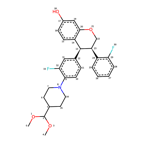 COC(OC)C1CCN(c2ccc([C@H]3c4ccc(O)cc4OC[C@H]3c3ccccc3F)cc2F)CC1